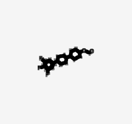 O=COC1CCC(C2CCC(c3cc(F)c(F)c(F)c3)CC2)CC1